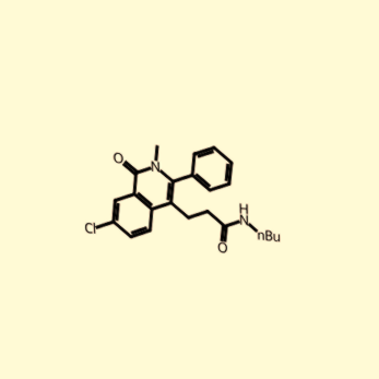 CCCCNC(=O)CCc1c(-c2ccccc2)n(C)c(=O)c2cc(Cl)ccc12